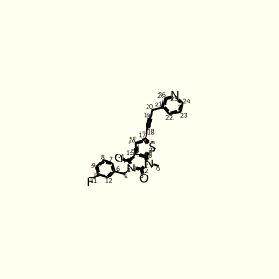 Cn1c(=O)n(Cc2cccc(F)c2)c(=O)c2cc(C#CCc3cccnc3)sc21